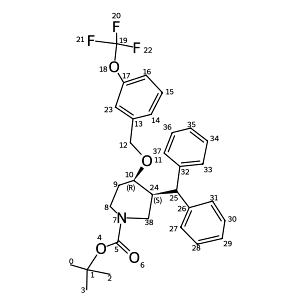 CC(C)(C)OC(=O)N1CC[C@@H](OCc2cccc(OC(F)(F)F)c2)[C@@H](C(c2ccccc2)c2ccccc2)C1